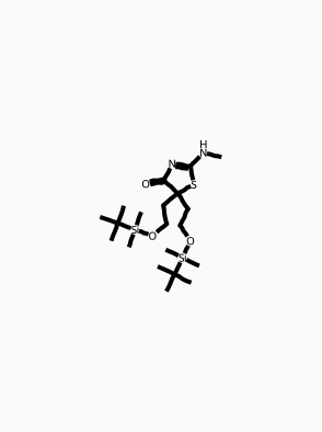 CNC1=NC(=O)C(CCO[Si](C)(C)C(C)(C)C)(CCO[Si](C)(C)C(C)(C)C)S1